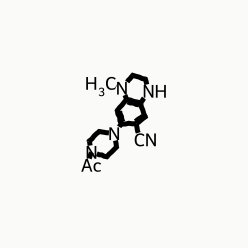 CC(=O)N1CCN(c2cc3c(cc2C#N)NCCN3C)CC1